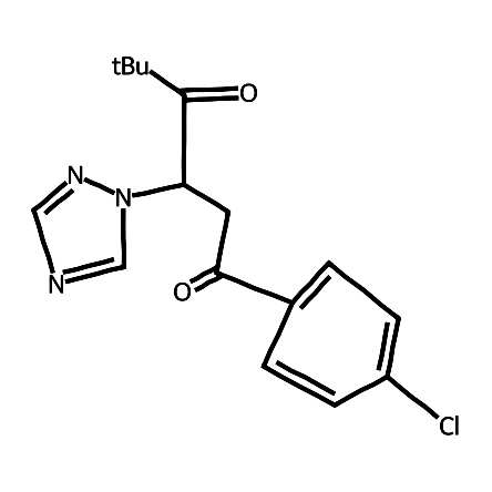 CC(C)(C)C(=O)C(CC(=O)c1ccc(Cl)cc1)n1cncn1